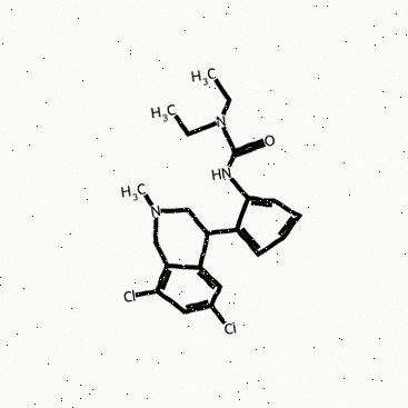 CCN(CC)C(=O)Nc1ccccc1C1CN(C)Cc2c(Cl)cc(Cl)cc21